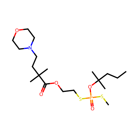 CCCC(C)(C)OP(=O)(SC)SCCOC(=O)C(C)(C)CCN1CCOCC1